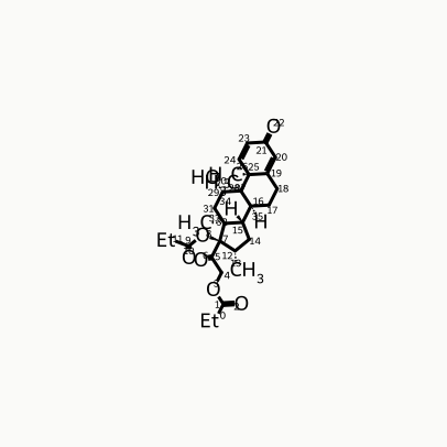 CCC(=O)OCC(=O)[C@@]1(OC(=O)CC)[C@@H](C)C[C@H]2[C@@H]3CCC4=CC(=O)C=C[C@]4(C)[C@@]3(C)[C@@H](O)C[C@@]21C